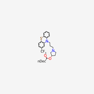 CCCCCCCCCCC(=O)OC1CCN(CCCN2c3ccccc3Sc3ccc(C(F)(F)F)cc32)C1